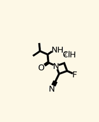 CC(C)C(N)C(=O)N1CC(F)C1C#N.Cl